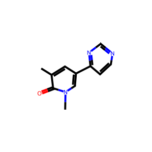 Cc1cc(-c2ccn[c]n2)cn(C)c1=O